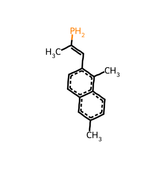 C/C(P)=C\c1ccc2cc(C)ccc2c1C